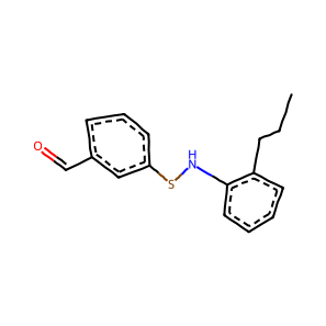 CCCc1ccccc1NSc1cccc(C=O)c1